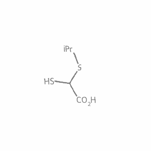 CC(C)SC(S)C(=O)O